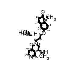 CNCCN(CCCOc1ccc2c(ccc(=O)n2C)c1)Cc1ccncc1.Cl.Cl.Cl